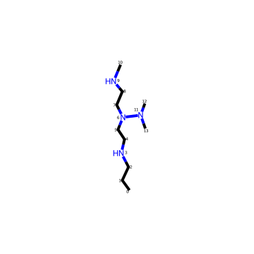 CCCNCCN(CCNC)N(C)C